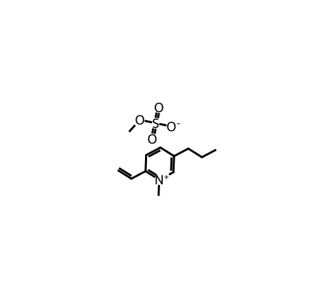 C=Cc1ccc(CCC)c[n+]1C.COS(=O)(=O)[O-]